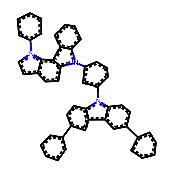 c1ccc(-c2ccc3c(c2)c2cc(-c4ccccc4)ccc2n3-c2cccc(-n3c4ccccc4c4c5c(ccc43)ccn5-c3ccccc3)c2)cc1